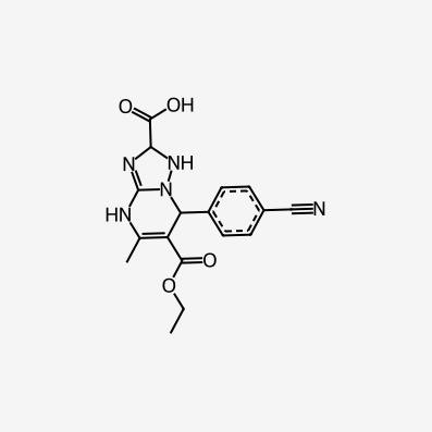 CCOC(=O)C1=C(C)NC2=NC(C(=O)O)NN2C1c1ccc(C#N)cc1